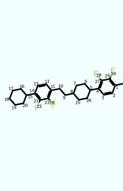 Cc1ccc(C2CCC(CCc3ccc(C4CCCCC4)c(F)c3F)CC2)c(F)c1F